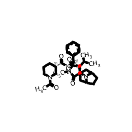 CC(=O)N1CCC[C@H](C(=O)N[C@@H](CCN2C3CCC2CC2(C3)C(=O)N(C)C(=O)N2C(C)C)c2ccccc2)C1